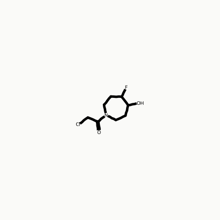 O=C(CCl)N1CCC(O)C(F)CC1